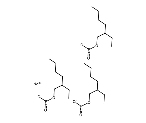 CCCCC(CC)CO[PH](=O)[O-].CCCCC(CC)CO[PH](=O)[O-].CCCCC(CC)CO[PH](=O)[O-].[Nd+3]